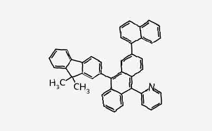 CC1(C)c2ccccc2-c2ccc(-c3c4ccccc4c(-c4ccccn4)c4ccc(-c5cccc6ccccc56)cc34)cc21